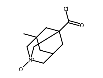 CC12CC3CC(C(=O)Cl)(C1)C[N+]([O-])(C3)C2